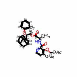 COc1ccnc(C(=O)N[C@@H](C)C(=O)O[C@@H](C)[C@H](Oc2ccccc2)C23CC4CC(CC(C4)C2)C3)c1OCOC(C)=O